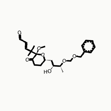 CO[C@@]1(C(C)(C)/C=C/C=O)O[C@H](C[C@@H](O)[C@@H](C)OCOCc2ccccc2)CCC1=O